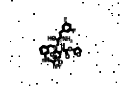 CCCC(CCC)S(=O)(=O)C[C@H](NC(=O)O[C@H]1CCOC1)C(=O)N(Cc1cccc(CC)c1)C[C@@H](O)[C@@H](N)Cc1cc(F)cc(F)c1